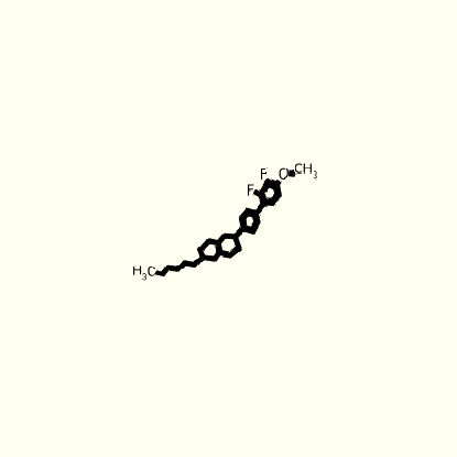 CCCCCCC1CCC2CC(c3ccc(-c4ccc(OCC)c(F)c4F)cc3)CCC2C1